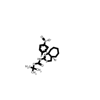 CC(C)(C)OC(=O)NC1=N[C@@]2(c3cc([N+](=O)[O-])ccc3F)CCCCC[C@H]2CS1